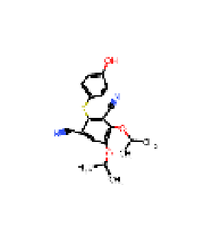 CC(C)Oc1cc(C#N)c(Sc2ccc(O)cc2)c(C#N)c1OC(C)C